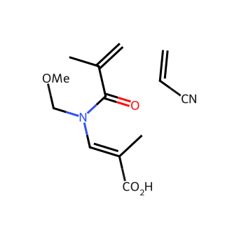 C=C(C)C(=O)N(C=C(C)C(=O)O)COC.C=CC#N